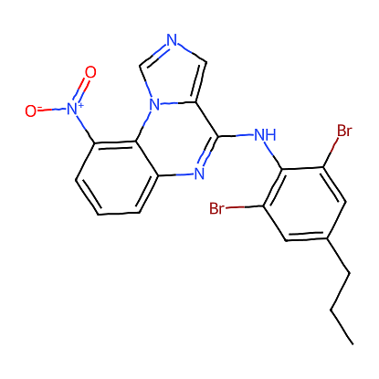 CCCc1cc(Br)c(Nc2nc3cccc([N+](=O)[O-])c3n3cncc23)c(Br)c1